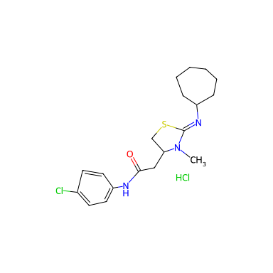 CN1C(=NC2CCCCCC2)SCC1CC(=O)Nc1ccc(Cl)cc1.Cl